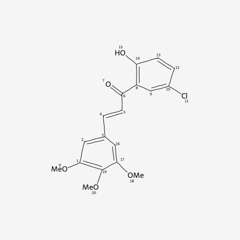 COc1cc(C=CC(=O)c2cc(Cl)ccc2O)cc(OC)c1OC